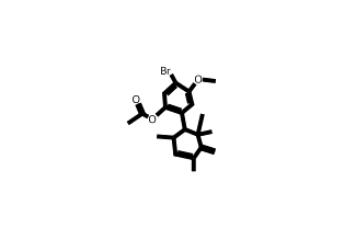 C=C1C(C)=CC(C)C(c2cc(OC)c(Br)cc2OC(C)=O)C1(C)C